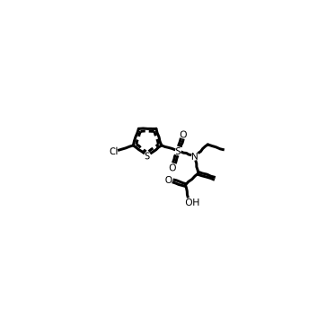 C=C(C(=O)O)N(CC)S(=O)(=O)c1ccc(Cl)s1